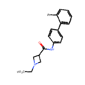 CC(C)c1ccccc1-c1ccc(NC(=O)C2CN(CC(=O)O)C2)cc1